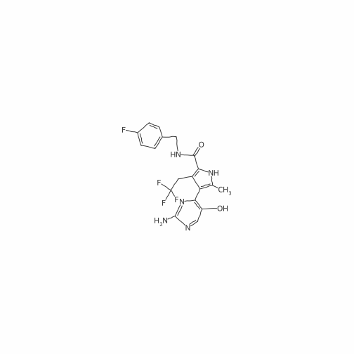 Cc1[nH]c(C(=O)NCc2ccc(F)cc2)c(CC(F)(F)F)c1-c1nc(N)ncc1O